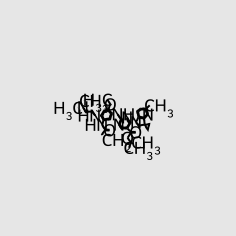 C=CC(=O)Nc1cc(Nc2ncc(C(=O)OC(C)C)c(N3CC4(CC4)c4nc(C)ccc43)n2)c(OC)cc1NCCN(C)C